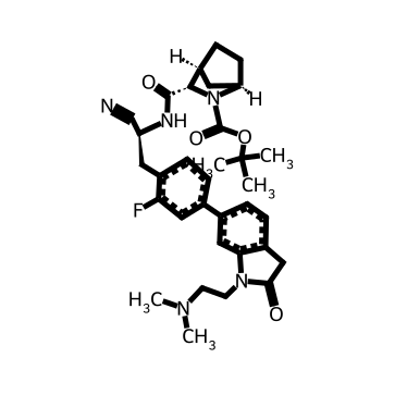 CN(C)CCN1C(=O)Cc2ccc(-c3ccc(C[C@@H](C#N)NC(=O)[C@@H]4[C@H]5CC[C@H](C5)N4C(=O)OC(C)(C)C)c(F)c3)cc21